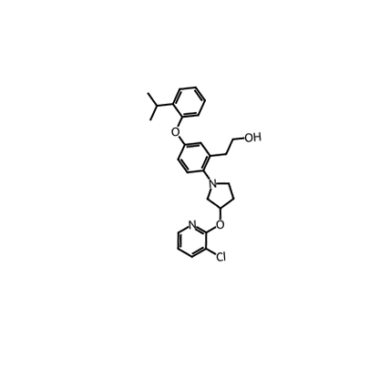 CC(C)c1ccccc1Oc1ccc(N2CCC(Oc3ncccc3Cl)C2)c(CCO)c1